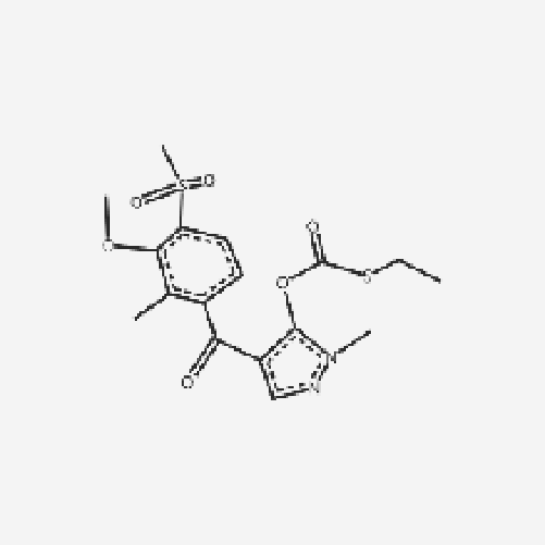 CCSC(=O)Oc1c(C(=O)c2ccc(S(C)(=O)=O)c(OC)c2C)cnn1C